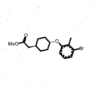 COC(=O)C[C@H]1CC[C@H](Oc2cccc(Br)c2C)CC1